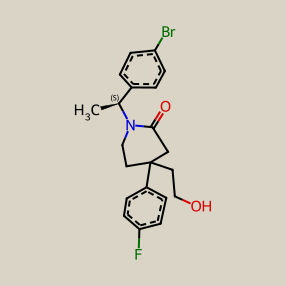 C[C@@H](c1ccc(Br)cc1)N1CCC(CCO)(c2ccc(F)cc2)CC1=O